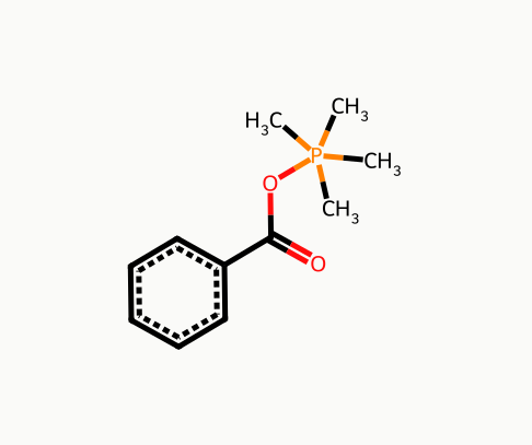 CP(C)(C)(C)OC(=O)c1ccccc1